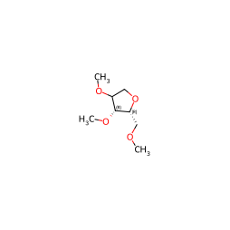 COC[C@H]1OCC(OC)[C@H]1OC